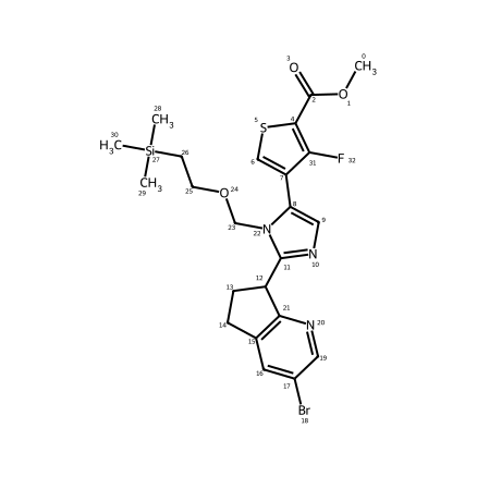 COC(=O)c1scc(-c2cnc(C3CCc4cc(Br)cnc43)n2COCC[Si](C)(C)C)c1F